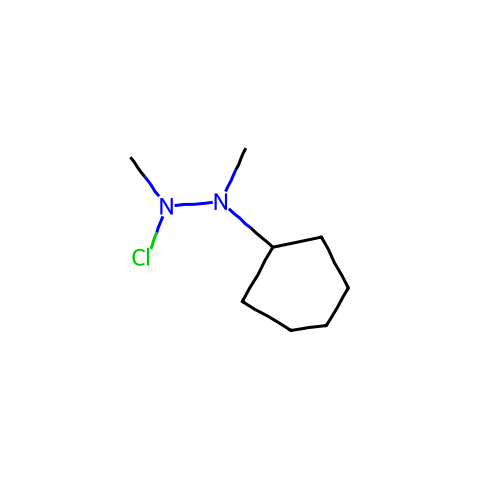 CN(Cl)N(C)C1CCCCC1